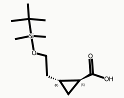 CC(C)(C)[Si](C)(C)OCC[C@H]1C[C@@H]1C(=O)O